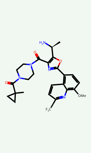 COc1ccc(-c2nc(C(=O)N3CCN(C(=O)C4(C)CC4)CC3)c([C@H](C)N)o2)c2ccc(C(F)(F)F)nc12